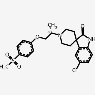 C[C@@H](COc1ccc(S(C)(=O)=O)cc1)N1CCC2(CC1)C(=O)Nc1ccc(Cl)cc12